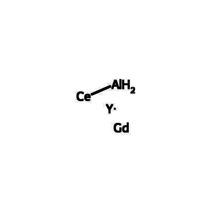 [AlH2][Ce].[Gd].[Y]